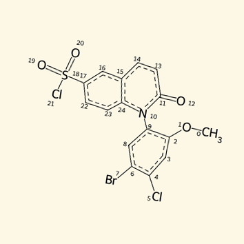 COc1cc(Cl)c(Br)cc1-n1c(=O)ccc2cc(S(=O)(=O)Cl)ccc21